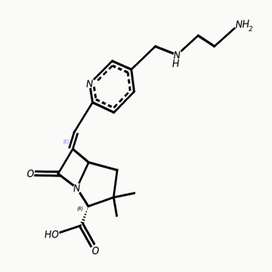 CC1(C)CC2/C(=C\c3ccc(CNCCN)cn3)C(=O)N2[C@H]1C(=O)O